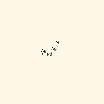 [Ag].[Ag].[Pd].[Pt]